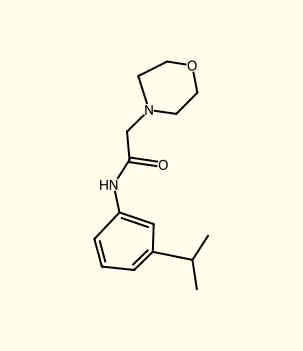 CC(C)c1cccc(NC(=O)CN2CCOCC2)c1